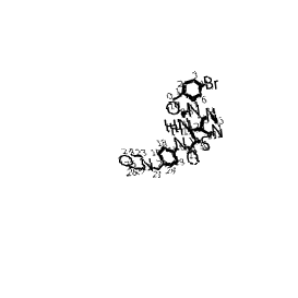 Cc1ccc(Br)cc1N1C(=O)Nc2c(C(=O)Nc3ccc(CN4CCOCC4)cc3)sc3ncnc1c23